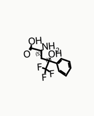 N[C@@H](C[C@](O)(c1ccccc1)C(F)(F)F)C(=O)O